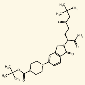 CC(C)(C)CC(=O)CC[C@@H](C(N)=O)N1Cc2cc(N3CCN(C(=O)OC(C)(C)C)CC3)ccc2C1=O